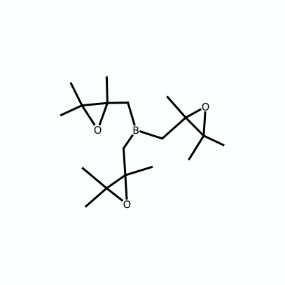 CC1(C)OC1(C)CB(CC1(C)OC1(C)C)CC1(C)OC1(C)C